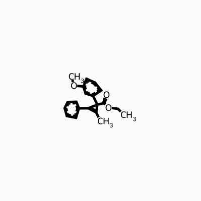 CCOC(=O)C1(c2cccc(OC)c2)C(C)=C1c1ccccc1